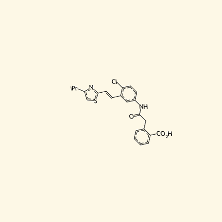 CC(C)c1csc(C=Cc2cc(NC(=O)Cc3ccccc3C(=O)O)ccc2Cl)n1